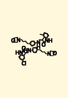 Cc1cccc2c1C(=CNc1ccc(CCCCN3CCOCC3)cc1)C(=O)N2.O=C1Nc2ccc(Cl)cc2C1=CNc1ccc(CCCCN2CCOCC2)cc1